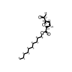 CCCCCCCCCCOC(=O)c1ccc(C(C)=O)o1